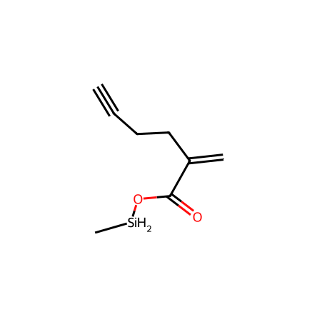 C#CCCC(=C)C(=O)O[SiH2]C